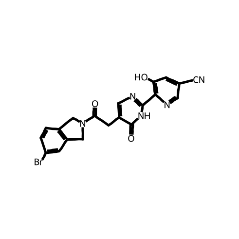 N#Cc1cnc(-c2ncc(CC(=O)N3Cc4ccc(Br)cc4C3)c(=O)[nH]2)c(O)c1